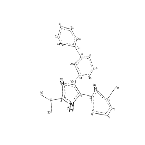 Cc1cccc(-c2[nH]c(C(C)C)nc2-c2cccc(-c3ccccn3)c2)n1